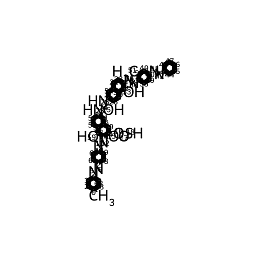 CC1CCC(N=NC2CCC(N=NC3C(OOOS)CC4CC(NC(O)NC5CCC6C(CCC(N=NC7CCC(N=NC8CCCCC8)CC7C)C6O)C5)CCC4C3O)CC2)CC1